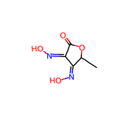 CC1OC(=O)C(=NO)C1=NO